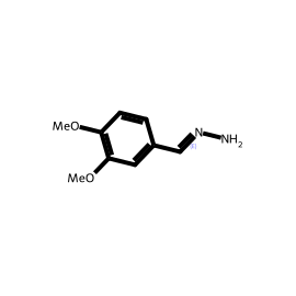 COc1ccc(/C=N/N)cc1OC